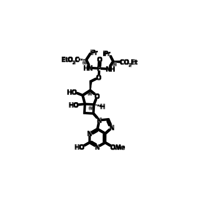 CCOC(=O)[C@@H](NP(=O)(N[C@H](C(=O)OCC)C(C)C)OC[C@H]1O[C@H]2C(n3cnc4c(OC)nc(O)nc43)CC2(O)C1O)C(C)C